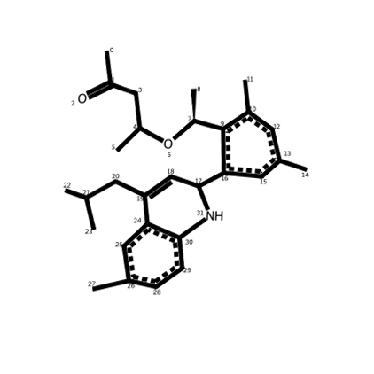 CC(=O)CC(C)O[C@@H](C)c1c(C)cc(C)cc1C1C=C(CC(C)C)c2cc(C)ccc2N1